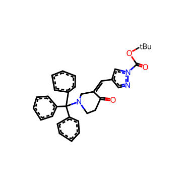 CC(C)(C)OC(=O)n1cc(C=C2CN(C(c3ccccc3)(c3ccccc3)c3ccccc3)CCC2=O)cn1